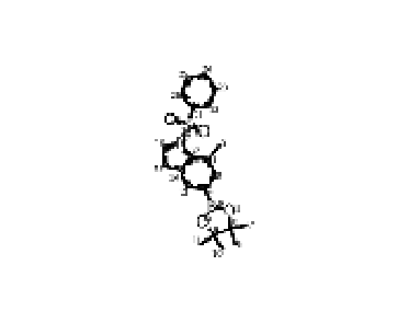 Cc1cc(B2OC(C)(C)C(C)(C)O2)cc2ccn(S(=O)(=O)c3ccccc3)c12